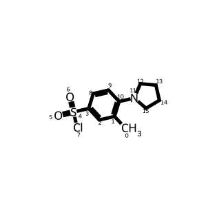 Cc1cc(S(=O)(=O)Cl)ccc1N1CCCC1